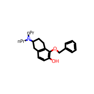 CCCN(CCC)C1CCc2c(ccc(O)c2OCc2ccccc2)C1